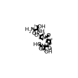 C[C@@H](O)[C@H](NC(=O)[C@H]1CCN(C(=O)[C@@H]2CCN(C(=O)[C@@H](NC(=O)O)[C@@H](C)O)C2)C1)C(N)=O